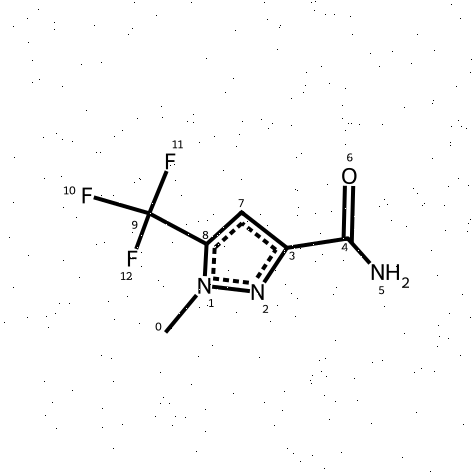 Cn1nc(C(N)=O)cc1C(F)(F)F